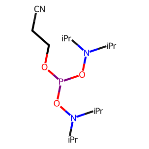 CC(C)N(OP(OCCC#N)ON(C(C)C)C(C)C)C(C)C